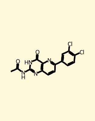 CC(=O)Nc1nc2ccc(-c3ccc(Cl)c(Cl)c3)nc2c(=O)[nH]1